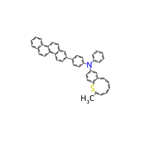 Cc1cccccc2cc(N(c3ccccc3)c3ccc(-c4ccc5c(ccc6c7ccccc7ccc56)c4)cc3)ccc2s1